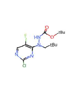 CC(C)(C)CN(NC(=O)OC(C)(C)C)c1nc(Cl)ncc1F